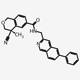 C[C@@]1(C#N)COCc2ccc(C(=O)NCc3cc4cc(-c5ccccc5)ccc4cn3)cc21